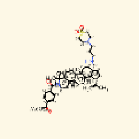 C=C(C)[C@@H]1CC[C@]2(CNCCCN3CCS(=O)(=O)CC3)CC[C@]3(C)[C@H](CC[C@@H]4[C@@]5(C)CCN(C(=O)c6ccc(C(=O)OC)cc6)C(C)(C)[C@@H]5CC[C@]43C)[C@@H]12